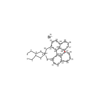 CCCC[P+]1(CCCC)Cc2ccc3ccccc3c2-c2c(ccc3ccccc23)C1.[Br-]